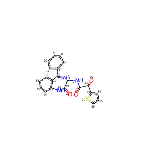 O=C(NC1N=C(c2ccccc2)c2ccccc2NC1=O)C(=O)c1cccs1